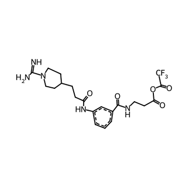 N=C(N)N1CCC(CCC(=O)Nc2cccc(C(=O)NCCC(=O)OC(=O)C(F)(F)F)c2)CC1